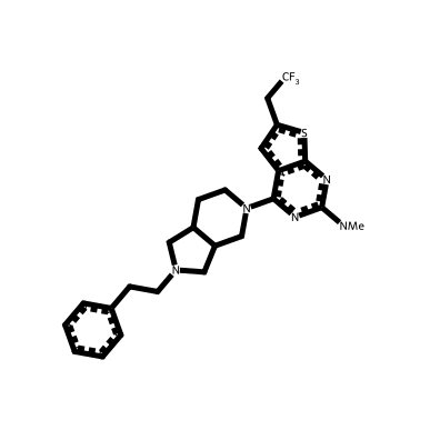 CNc1nc(N2CCC3CN(CCc4ccccc4)CC3C2)c2cc(CC(F)(F)F)sc2n1